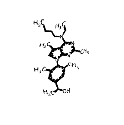 CCCCN(CC)c1nc(C)nc2c1c(C)cn2-c1c(C)cc(C(C)O)cc1C